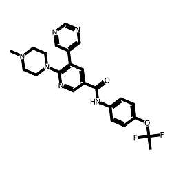 CN1CCN(c2ncc(C(=O)Nc3ccc(OC(C)(F)F)cc3)cc2-c2cncnc2)CC1